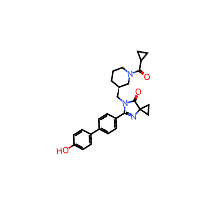 O=C(C1CC1)N1CCC[C@H](CN2C(=O)C3(CC3)N=C2c2ccc(-c3ccc(O)cc3)cc2)C1